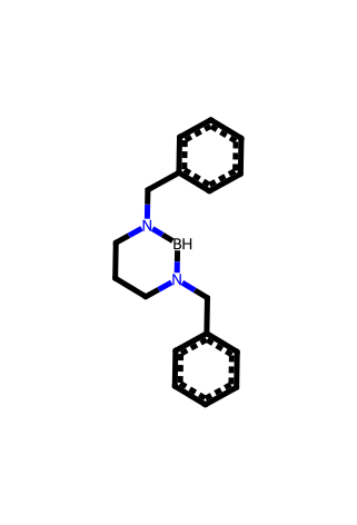 B1N(Cc2ccccc2)CCCN1Cc1ccccc1